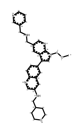 IOSn1cc(-c2ccc3ncc(NCC4CCOCC4)cc3c2)c2cc(CNCc3cccnc3)cnc21